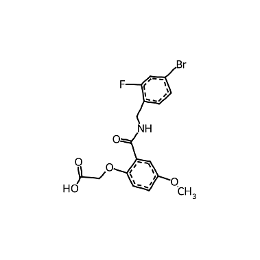 COc1ccc(OCC(=O)O)c(C(=O)NCc2ccc(Br)cc2F)c1